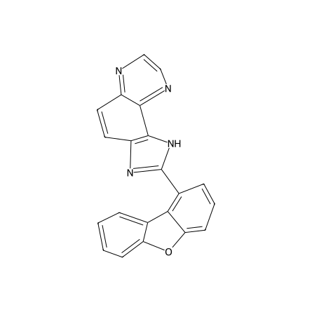 c1ccc2c(c1)oc1cccc(-c3nc4ccc5nccnc5c4[nH]3)c12